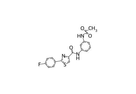 CS(=O)(=O)Nc1cccc(NC(=O)c2csc(-c3ccc(F)cc3)n2)c1